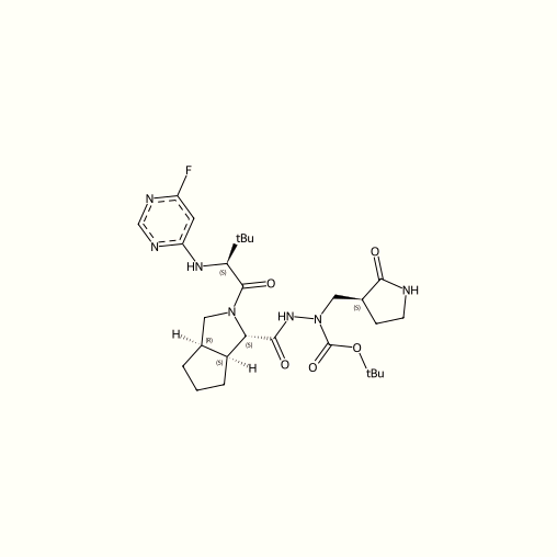 CC(C)(C)OC(=O)N(C[C@@H]1CCNC1=O)NC(=O)[C@@H]1[C@H]2CCC[C@H]2CN1C(=O)[C@@H](Nc1cc(F)ncn1)C(C)(C)C